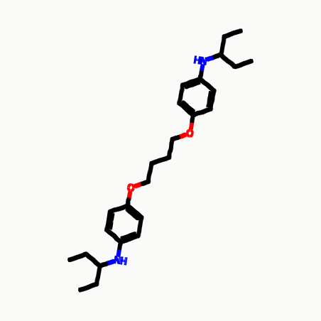 CCC(CC)Nc1ccc(OCCCCOc2ccc(NC(CC)CC)cc2)cc1